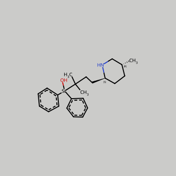 C[C@@H]1CC[C@@H](CCC(C)(C)[Si](O)(c2ccccc2)c2ccccc2)NC1